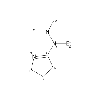 CCN(C1=NCCC1)N(C)C